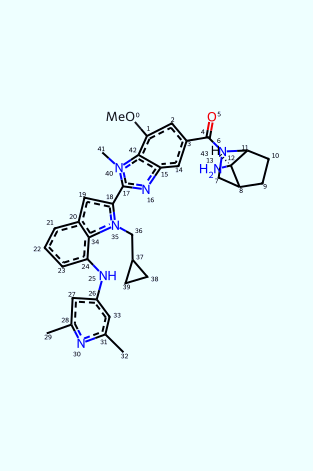 COc1cc(C(=O)N2CC3CCC2[C@@H]3N)cc2nc(-c3cc4cccc(Nc5cc(C)nc(C)c5)c4n3CC3CC3)n(C)c12